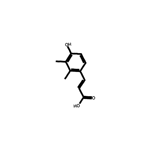 Cc1c(O)ccc(C=CC(=O)O)c1C